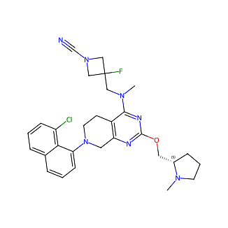 CN(CC1(F)CN(C#N)C1)c1nc(OC[C@@H]2CCCN2C)nc2c1CCN(c1cccc3cccc(Cl)c13)C2